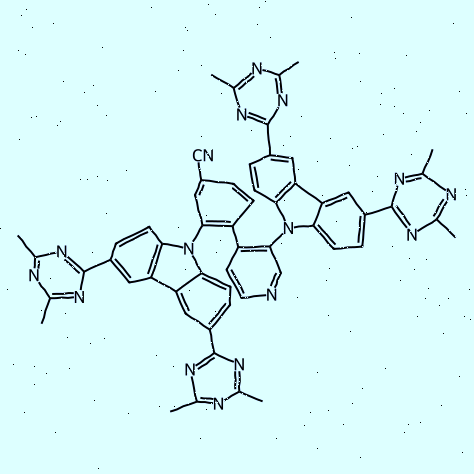 Cc1nc(C)nc(-c2ccc3c(c2)c2cc(-c4nc(C)nc(C)n4)ccc2n3-c2cnccc2-c2ccc(C#N)cc2-n2c3ccc(-c4nc(C)nc(C)n4)cc3c3cc(-c4nc(C)nc(C)n4)ccc32)n1